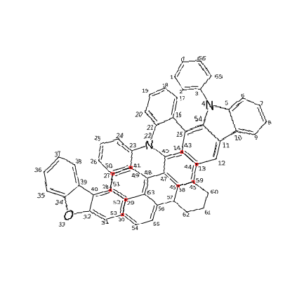 c1ccc(-n2c3ccccc3c3cccc(-c4ccccc4N(c4cccc(-c5cccc6oc7ccccc7c56)c4)c4ccccc4-c4cccc5cccc(C6CCCCC6)c45)c32)cc1